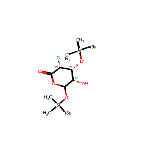 CC(C)(C)[Si](C)(C)OC1OC(=O)[C@H](Cl)[C@H](O[Si](C)(C)C(C)(C)C)[C@@H]1O